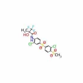 CC(O)(C(=O)Nc1ccc(S(=O)(=O)c2ccc(S(C)(=O)=O)c(Cl)c2)cc1Cl)C(F)(F)F